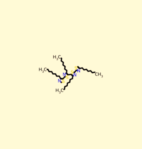 CCCCCCCCc1csc(-c2nc(CCCCCCCC)c(-c3sc(-c4scnc4CCCCCCCC)nc3CCCCCCCC)s2)n1